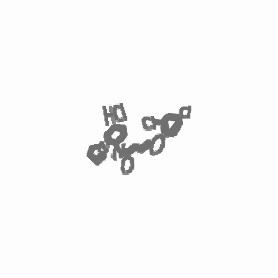 CN(C(=O)CCCOc1ccc(Cl)cc1Cl)C1CCCCC1N1CCCC1.Cl